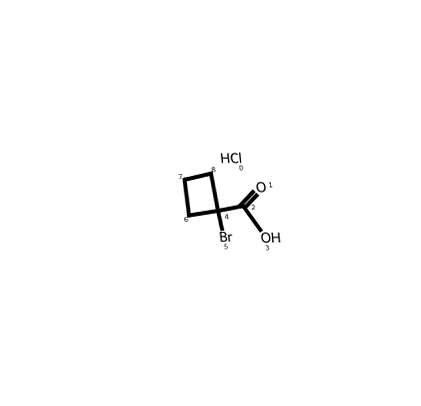 Cl.O=C(O)C1(Br)CCC1